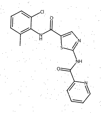 Cc1cccc(Cl)c1NC(=O)c1cnc(NC(=O)c2ccccn2)s1